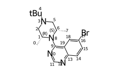 C[C@@H]1CN(C(C)(C)C)C[C@H](C)N1c1ncnc2ccc(Br)cc12